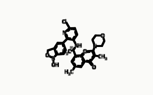 Cc1cc([C@@H](C)Nc2ccc(Cl)nc2-c2ccc3c(c2)COB3O)c2oc(N3CCOCC3)c(C)c(=O)c2c1